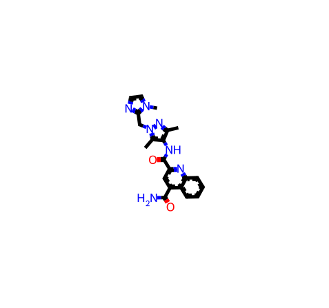 Cc1nn(Cc2nccn2C)c(C)c1NC(=O)c1cc(C(N)=O)c2ccccc2n1